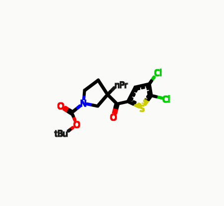 CCCC1(C(=O)c2cc(Cl)c(Cl)s2)CCN(C(=O)OC(C)(C)C)C1